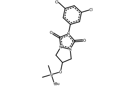 CC(C)(C)[Si](C)(C)OC1Cn2c(=O)n(-c3cc(Cl)cc(Cl)c3)c(=O)n2C1